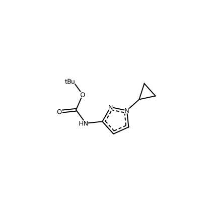 CC(C)(C)OC(=O)Nc1ccn(C2CC2)n1